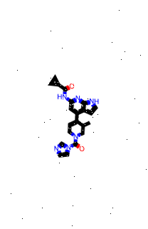 CC1CN(C(=O)n2ccnc2)CC=C1c1cc(NC(=O)C2CC2)nc2[nH]ccc12